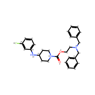 O=C(OCCN(Cc1ccccc1)Cc1ccccc1)N1CCC(Nc2cccc(F)c2)CC1